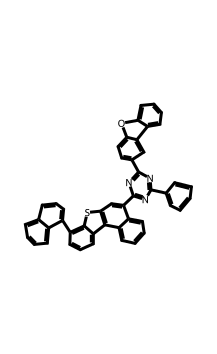 c1ccc(-c2nc(-c3ccc4oc5ccccc5c4c3)nc(-c3cc4sc5c(-c6cccc7ccccc67)cccc5c4c4ccccc34)n2)cc1